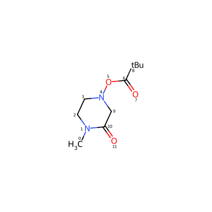 CN1CCN(OC(=O)C(C)(C)C)CC1=O